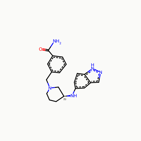 NC(=O)c1cccc(CN2CCC[C@H](Nc3ccc4[nH]ncc4c3)C2)c1